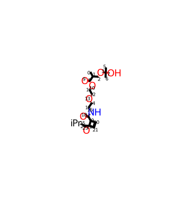 CC(COC(C)(C)O)C(=O)OCCOCCNC(=O)C1C=CC12OC2C(C)C